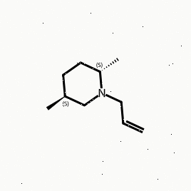 C=CCN1C[C@@H](C)CC[C@@H]1C